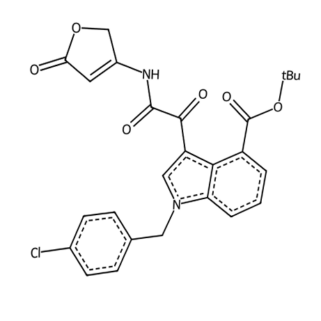 CC(C)(C)OC(=O)c1cccc2c1c(C(=O)C(=O)NC1=CC(=O)OC1)cn2Cc1ccc(Cl)cc1